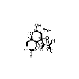 CC1OC[C@H]2O[C@@H](O)[C@H](O)[C@](O)(C(=O)C(Cl)Cl)[C@@H]2O1